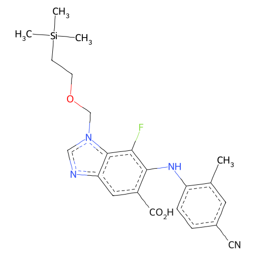 Cc1cc(C#N)ccc1Nc1c(C(=O)O)cc2ncn(COCC[Si](C)(C)C)c2c1F